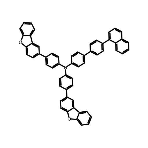 c1ccc2c(-c3ccc(-c4ccc(N(c5ccc(-c6ccc7oc8ccccc8c7c6)cc5)c5ccc(-c6ccc7oc8ccccc8c7c6)cc5)cc4)cc3)cccc2c1